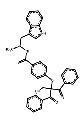 NCC(Oc1ccc(C(=O)N[C@H](Cc2c[nH]c3ccccc23)C(=O)O)cc1)(C(=O)c1ccccc1)C(=O)c1ccccc1